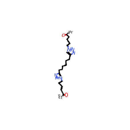 CCC(=O)CCCCn1cc(CCCCCCc2cn(CCCCC(=O)C(C)C)nn2)nn1